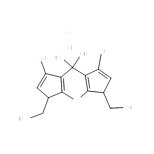 CCC1C=C(C)C2=[C]1[Ti+2][C]1=C(C(C)=CC1CC)C2(C)C.[Cl-].[Cl-]